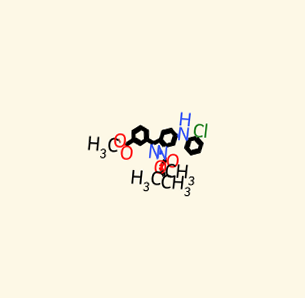 COC(=O)c1cccc(-c2nn(C(=O)OC(C)(C)C)c3cc(Nc4ccccc4Cl)ccc23)c1